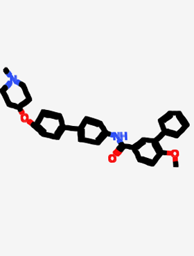 COc1ccc(C(=O)Nc2ccc(-c3ccc(OC4CCN(C)CC4)cc3)cc2)cc1-c1ccccc1